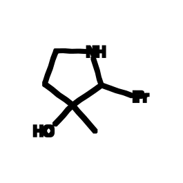 CC(C)C1NCCC1(C)O